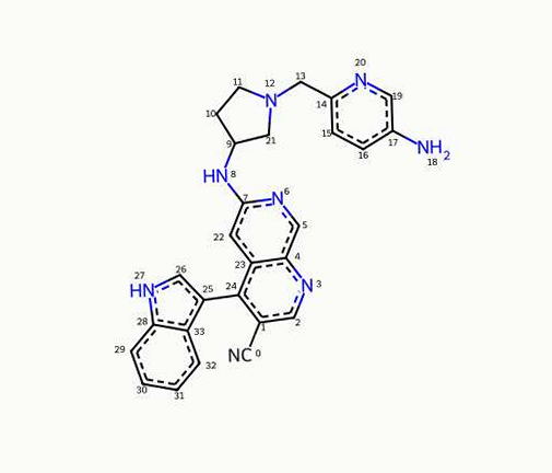 N#Cc1cnc2cnc(NC3CCN(Cc4ccc(N)cn4)C3)cc2c1-c1c[nH]c2ccccc12